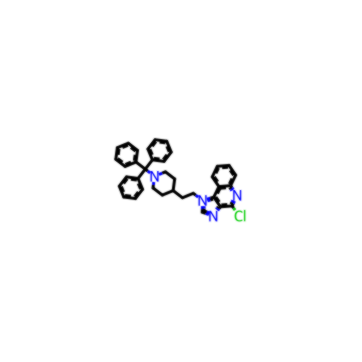 Clc1nc2ccccc2c2c1ncn2CCC1CCN(C(c2ccccc2)(c2ccccc2)c2ccccc2)CC1